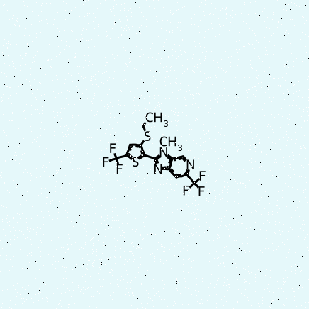 CCSc1cc(C(F)(F)F)sc1-c1nc2cc(C(F)(F)F)ncc2n1C